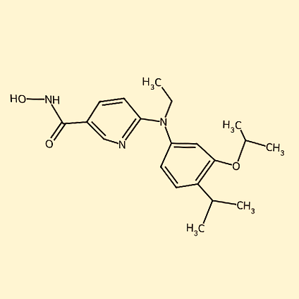 CCN(c1ccc(C(C)C)c(OC(C)C)c1)c1ccc(C(=O)NO)cn1